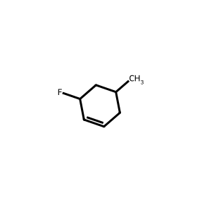 CC1CC=CC(F)C1